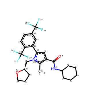 Cc1c(C(=O)NC2CCCCC2)cc(-c2cc(C(F)(F)F)ccc2C(F)(F)F)n1C[C@H]1CCCO1